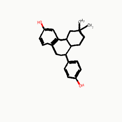 CC1(C)CCC2C(c3ccc(O)cc3)Cc3ccc(O)cc3C2C1